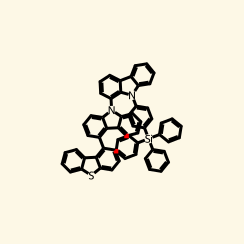 c1ccc([Si](c2ccccc2)(c2ccccc2)c2ccc(-n3c4ccccc4c4cccc(-n5c6ccccc6c6c(-c7cccc8sc9ccccc9c78)cccc65)c43)cc2)cc1